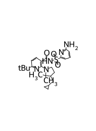 CC(C)(C)c1ccc(C(=O)NS(=O)(=O)c2cccc(N)n2)c(N2CCC(CC3CC3)C2(C)C)n1